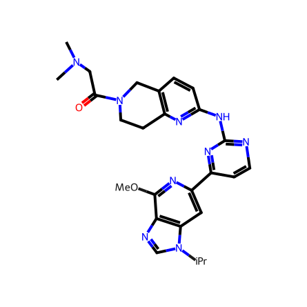 COc1nc(-c2ccnc(Nc3ccc4c(n3)CCN(C(=O)CN(C)C)C4)n2)cc2c1ncn2C(C)C